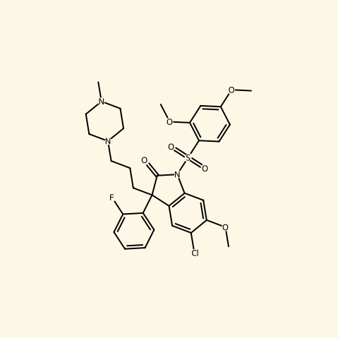 COc1ccc(S(=O)(=O)N2C(=O)C(CCCN3CCN(C)CC3)(c3ccccc3F)c3cc(Cl)c(OC)cc32)c(OC)c1